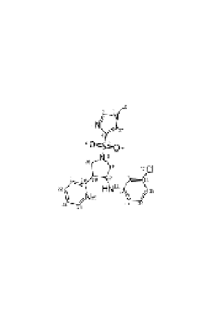 Cn1cnc(S(=O)(=O)N2CC(Nc3cccc(Cl)c3)C(c3ccccn3)C2)c1